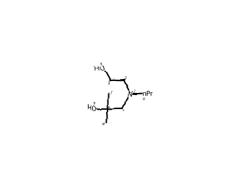 CCCN(CCO)CC(C)(C)O